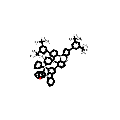 CC(C)(C)c1cc(-c2ccc3c(c2)Oc2ccc(-c4cc([Si](c5ccccc5)(c5ccccc5)c5ccccc5)c5c(c4)c4ccccc4n5-c4ccccc4)c4c2B3c2ccc(-c3cc(C(C)(C)C)cc(C(C)(C)C)c3)cc2O4)cc(C(C)(C)C)c1